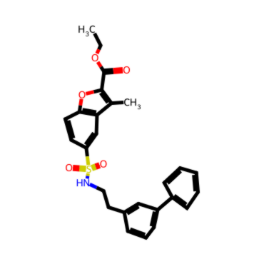 CCOC(=O)c1oc2ccc(S(=O)(=O)NCCc3cccc(-c4ccccc4)c3)cc2c1C